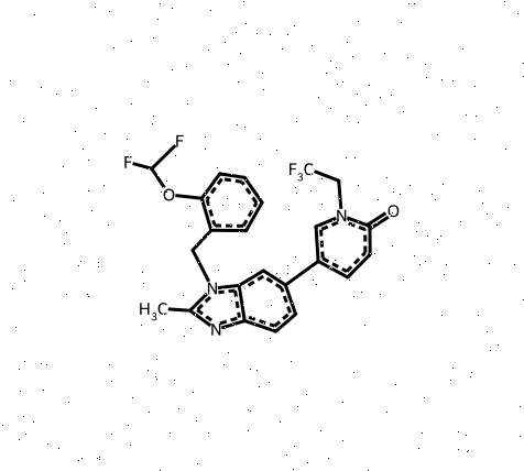 Cc1nc2ccc(-c3ccc(=O)n(CC(F)(F)F)c3)cc2n1Cc1ccccc1OC(F)F